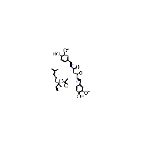 C=CC(C)(CCC=C(C)C)OC(C)=O.COc1cc(/C=C/C(=O)CC(=O)/C=C/c2ccc(O)c(OC)c2)ccc1O